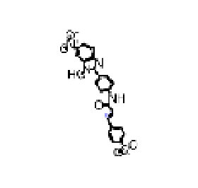 CS(=O)(=O)c1ccc(/C=C/C(=O)Nc2ccc(-c3nc4ccc([N+](=O)[O-])cc4n3O)cc2)cc1